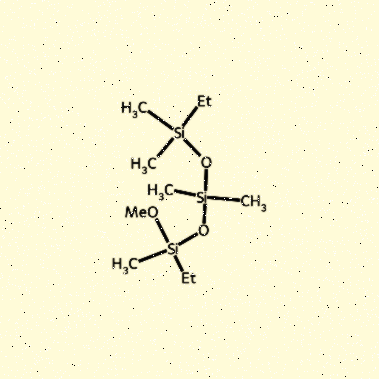 CC[Si](C)(C)O[Si](C)(C)O[Si](C)(CC)OC